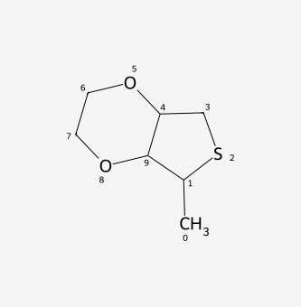 CC1SCC2OCCOC21